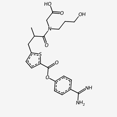 CC(Cc1ccc(C(=O)Oc2ccc(C(=N)N)cc2)s1)C(=O)N(CCCO)CC(=O)O